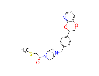 CSCC(=O)N1CC2CC1CN2Cc1ccc(C2COc3cccnc3O2)cc1